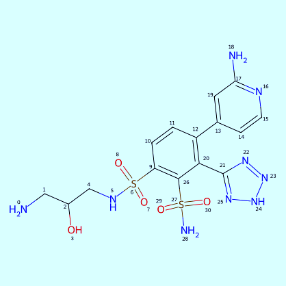 NCC(O)CNS(=O)(=O)c1ccc(-c2ccnc(N)c2)c(-c2nn[nH]n2)c1S(N)(=O)=O